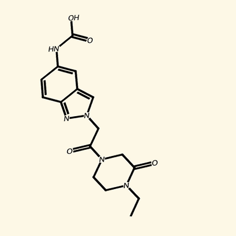 CCN1CCN(C(=O)Cn2cc3cc(NC(=O)O)ccc3n2)CC1=O